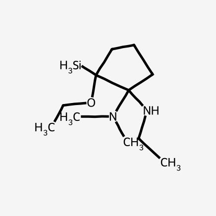 CCNC1(N(C)C)CCCC1([SiH3])OCC